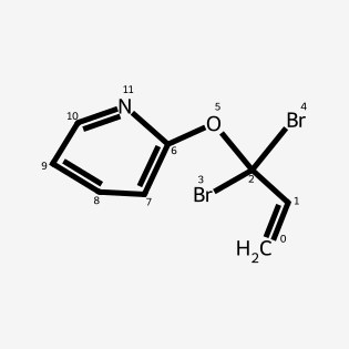 C=CC(Br)(Br)Oc1ccccn1